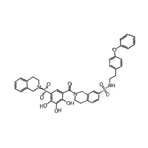 O=C(c1cc(S(=O)(=O)N2CCc3ccccc3C2)c(O)c(O)c1O)N1CCc2ccc(S(=O)(=O)NCCc3ccc(Oc4ccccc4)cc3)cc2C1